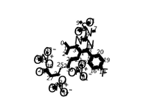 CC(C)c1nc(N(C)S(C)(=O)=O)nc(-c2ccc(F)cc2)c1/C=C/[C@@H](C[C@H](CC(=O)O[N+](=O)[O-])O[N+](=O)[O-])O[N+](=O)[O-]